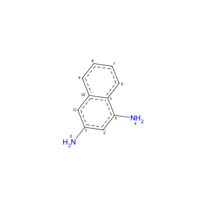 Nc1[c]c(N)c2ccccc2c1